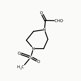 CS(=O)(=O)N1CCN(C(=O)[C]=O)CC1